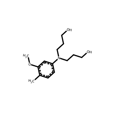 COc1cc(N(CCCO)CCCO)ccc1C